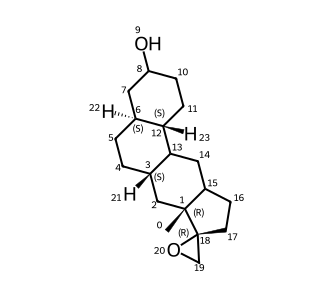 C[C@@]12C[C@@H]3CC[C@H]4CC(O)CC[C@@H]4C3CC1CC[C@]21CO1